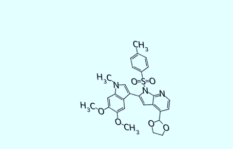 COc1cc2c(-c3cc4c(C5OCCO5)ccnc4n3S(=O)(=O)c3ccc(C)cc3)cn(C)c2cc1OC